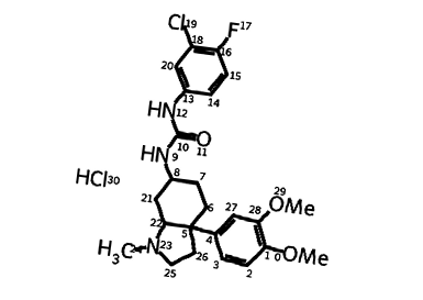 COc1ccc(C23CCC(NC(=O)Nc4ccc(F)c(Cl)c4)CC2N(C)CC3)cc1OC.Cl